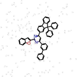 c1ccc(-c2cccc(-c3cc(-c4ccc5c(c4)C(c4ccccc4)(c4ccccc4)c4ccccc4-5)nc(-c4cc5ccccc5o4)n3)c2)cc1